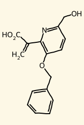 C=C(C(=O)O)c1nc(CO)ccc1OCc1ccccc1